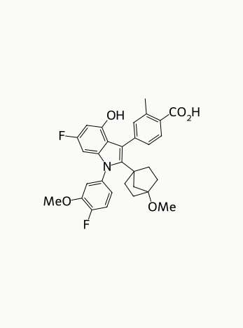 COc1cc(-n2c(C34CCC(OC)(CC3)C4)c(-c3ccc(C(=O)O)c(C)c3)c3c(O)cc(F)cc32)ccc1F